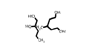 CC(CCO)CCO.CCCC(O)CO